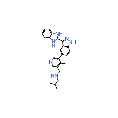 Cc1c(CNCC(C)C)cncc1-c1ccc2[nH]nc(C3Nc4ccccc4N3)c2c1